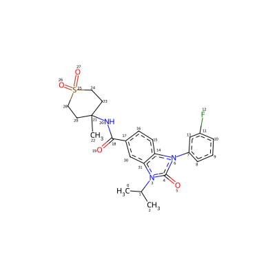 CC(C)n1c(=O)n(-c2cccc(F)c2)c2ccc(C(=O)NC3(C)CCS(=O)(=O)CC3)cc21